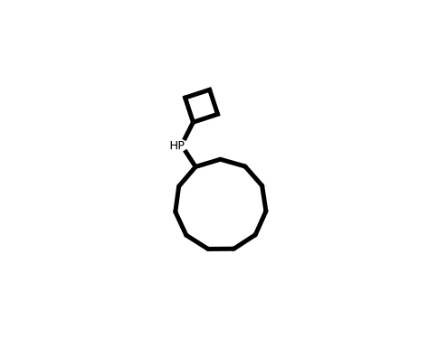 C1CCCCCC(PC2CCC2)CCCC1